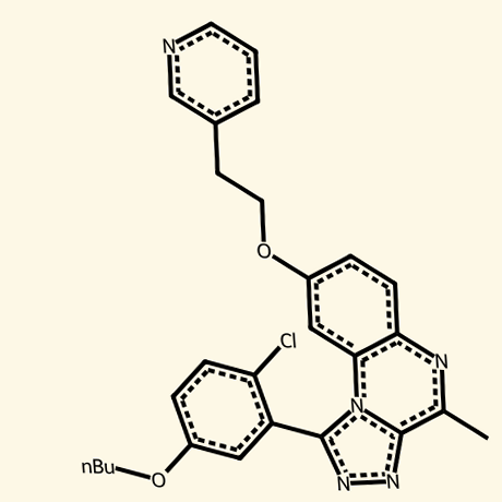 CCCCOc1ccc(Cl)c(-c2nnc3c(C)nc4ccc(OCCc5cccnc5)cc4n23)c1